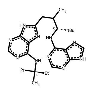 CC[C@](C)(Nc1ncnc2[nH]c(CC(C)[C@@H](Nc3ncnc4[nH]cnc34)C(C)(C)C)nc12)C(C)C